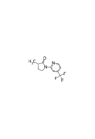 CC1CCN(c2cc(C(F)(F)F)ccn2)C1=O